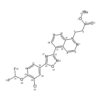 CC(C)(C)OC(=O)CCc1nccc2c(-c3noc(-c4ccc(OC(F)F)c(Cl)c4)n3)cccc12